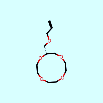 C=CCOC[C@@H]1COCCOCCOCCO1